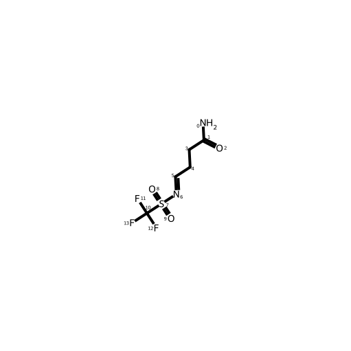 NC(=O)CCC=NS(=O)(=O)C(F)(F)F